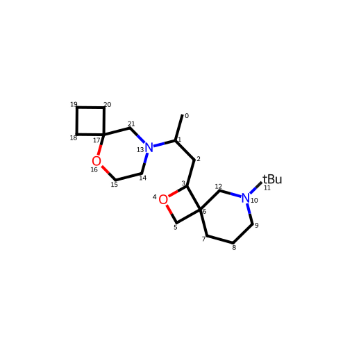 CC(CC1OCC12CCCN(C(C)(C)C)C2)N1CCOC2(CCC2)C1